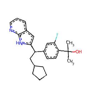 CC(C)(O)c1ccc(C(CC2CCCC2)c2cc3cccnc3[nH]2)cc1F